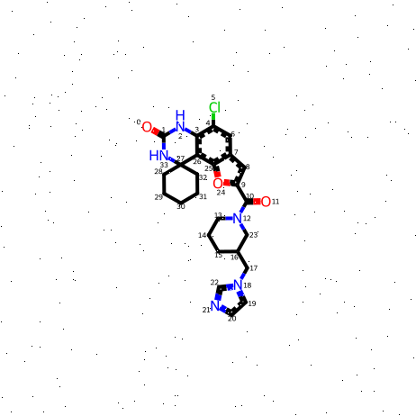 O=C1Nc2c(Cl)cc3cc(C(=O)N4CCCC(Cn5ccnc5)C4)oc3c2C2(CCCCC2)N1